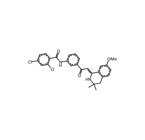 COc1ccc2c(c1)/C(=C/C(=O)c1cccc(NC(=O)c3ccc(Cl)cc3Cl)c1)NC(C)(C)C2